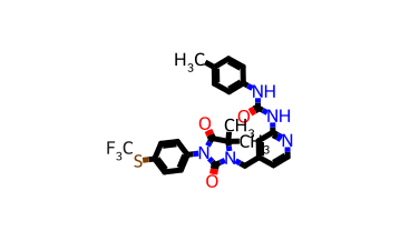 Cc1ccc(NC(=O)Nc2cc(CN3C(=O)N(c4ccc(SC(F)(F)F)cc4)C(=O)C3(C)C)ccn2)cc1